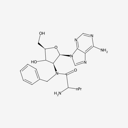 CCCC(N)C(=O)N(Cc1ccccc1)[C@H]1C(O)[C@@H](CO)O[C@H]1n1cnc2c(N)ncnc21